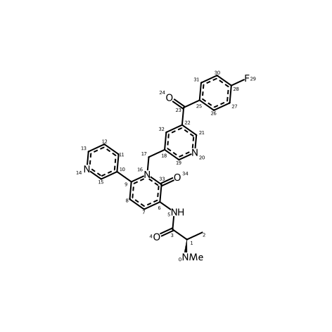 CN[C@H](C)C(=O)Nc1ccc(-c2cccnc2)n(Cc2cncc(C(=O)c3ccc(F)cc3)c2)c1=O